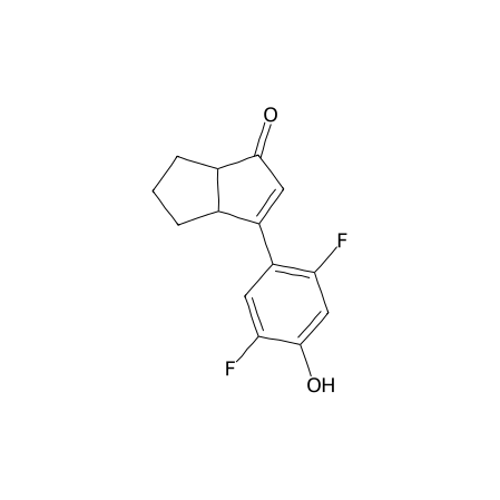 O=C1C=C(c2cc(F)c(O)cc2F)C2CCCC12